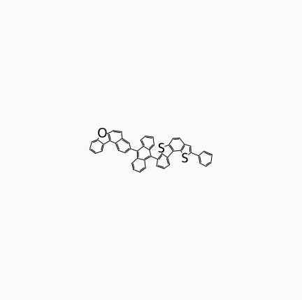 c1ccc(-c2cc3ccc4sc5c(-c6c7ccccc7c(-c7ccc8c(ccc9oc%10ccccc%10c98)c7)c7ccccc67)cccc5c4c3s2)cc1